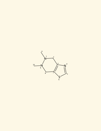 CN1Cc2ncsc2CN1C